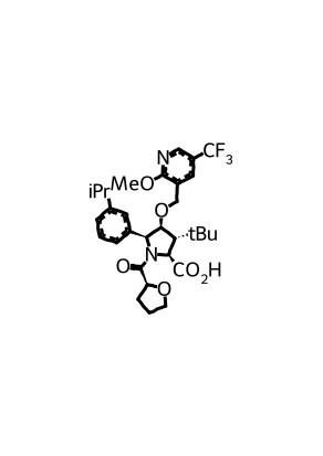 COc1ncc(C(F)(F)F)cc1CO[C@H]1[C@H](C(C)(C)C)[C@@H](C(=O)O)N(C(=O)[C@@H]2CCCO2)[C@H]1c1cccc(C(C)C)c1